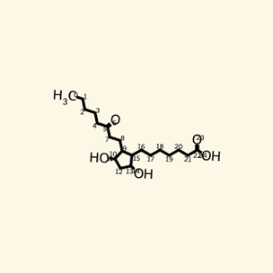 CCCCCC(=O)CCC1C(O)CC(O)C1CCCCCCC(=O)O